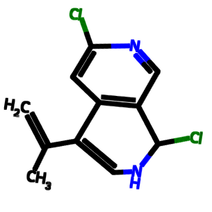 C=C(C)C1=CNC(Cl)c2cnc(Cl)cc21